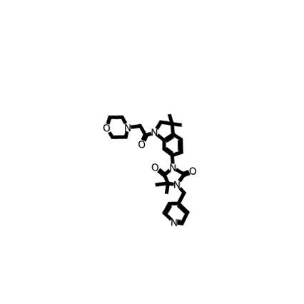 CC1(C)CN(C(=O)CN2CCOCC2)c2cc(N3C(=O)N(Cc4ccncc4)C(C)(C)C3=O)ccc21